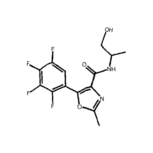 Cc1nc(C(=O)NC(C)CO)c(-c2cc(F)c(F)c(F)c2F)o1